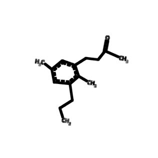 CCCc1cc(C)cc(CCC(C)=O)c1C